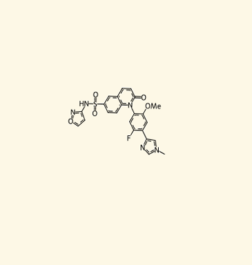 COc1cc(-c2cn(C)cn2)c(F)cc1-n1c(=O)ccc2cc(S(=O)(=O)Nc3ccon3)ccc21